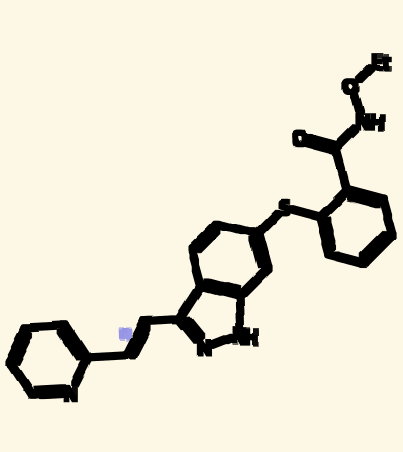 CCONC(=O)c1ccccc1Sc1ccc2c(/C=C/c3ccccn3)n[nH]c2c1